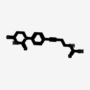 O=C(O)NCCC#Cc1ccc(N2CCC(=O)NC2=O)cc1